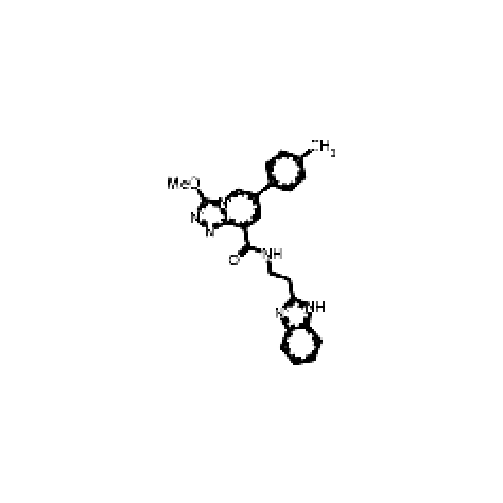 COc1nnc2c(C(=O)NCCc3nc4ccccc4[nH]3)cc(-c3ccc(C)cc3)cn12